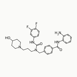 Nc1ccccc1NC(=O)c1ccc(CN(CCCN2CCC(O)CC2)C(=O)Nc2ccc(F)c(F)c2)cc1